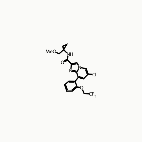 COCC1(NC(=O)c2cn3cc(Cl)cc(-c4ccccc4OCC(F)(F)F)c3n2)CC1